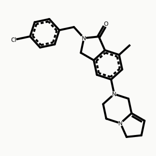 Cc1cc(N2CCN3CCC=C3C2)cc2c1C(=O)N(Cc1ccc(Cl)cc1)C2